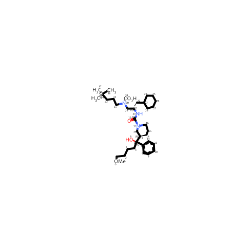 COCCCC[C@@](O)(c1ccccc1)[C@@H]1CCCN(C(=O)N[C@@H](CC2CCCCC2)CN(CCC[Si](C)(C)C)C(=O)O)C1